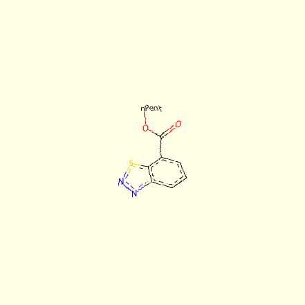 CCCCCOC(=O)c1cccc2nnsc12